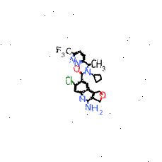 CC(c1ccc(C(F)(F)F)nn1)N(C(=O)c1cc2c3c(c(N)nc2cc1Cl)COC3)C1CCC1